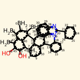 Bc1c(B)c(-c2c3ccccc3c(-c3ccccc3-n3c(-c4ccccc4)nc4ccccc43)c3ccccc23)c2c(B)c(O)c(O)c(B)c2c1B